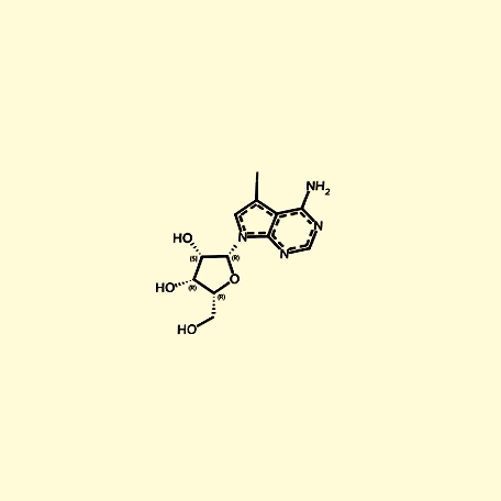 Nc1ncnc2c1c(I)cn2[C@@H]1O[C@H](CO)[C@H](O)[C@@H]1O